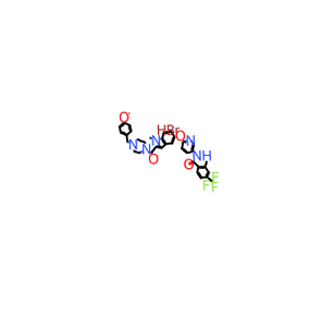 Br.COc1ccc(CN2CCN(C(=O)c3cc4cc(Oc5ccc(NC(=O)c6ccc(C(F)(F)F)cc6C)cn5)ccc4n3C)CC2)cc1